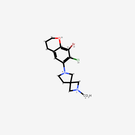 O=C(O)N1CC2(CCN(c3cc4c(c(Br)c3Cl)OCCC4)C2)C1